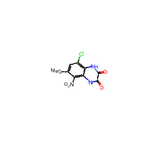 COc1cc(Cl)c2c(c1[N+](=O)[O-])[N]C(=O)C(=O)N2